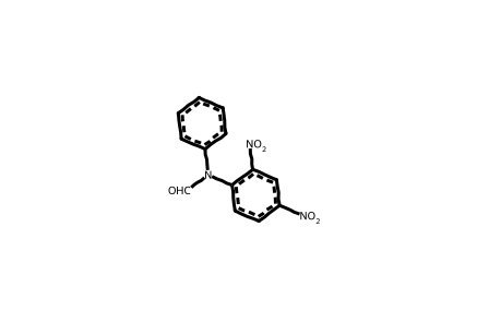 O=CN(c1ccccc1)c1ccc([N+](=O)[O-])cc1[N+](=O)[O-]